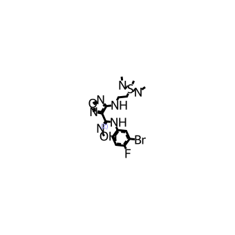 CN=S(C)(CCNc1nonc1/C(=N/O)Nc1ccc(F)c(Br)c1)=NC